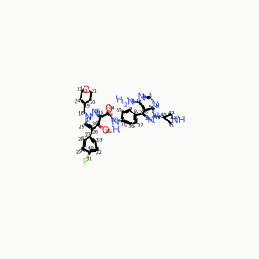 Nc1ncnc2c1c(-c1ccc(NC(=O)c3nn(CC4CCOCC4)cc(-c4ccc(F)cc4)c3=O)cc1)nn2C1CNC1